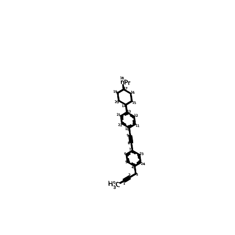 CC#CCc1ccc(C#Cc2ccc(C3CCC(CCC)CC3)cc2)cc1